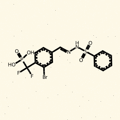 O=P(O)(O)C(F)(F)c1ccc(/C=N/NS(=O)(=O)c2ccccc2)cc1Br